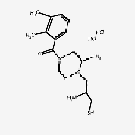 Cc1cccc(C(=O)N2CCN(CC(N)CS)C(C)C2)c1C.Cl.Cl